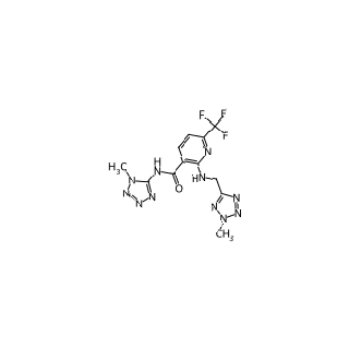 Cn1nnc(CNc2nc(C(F)(F)F)ccc2C(=O)Nc2nnnn2C)n1